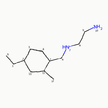 CCC1CCC(CNCCN)C(C)C1